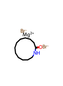 O=C1CCCCCCCCCCCN1.[Br-].[Br-].[Mg+2]